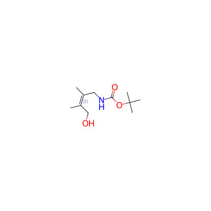 C/C(CO)=C(\C)CNC(=O)OC(C)(C)C